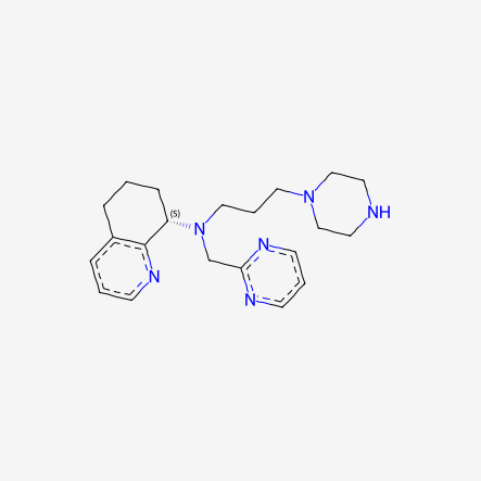 c1cnc(CN(CCCN2CCNCC2)[C@H]2CCCc3cccnc32)nc1